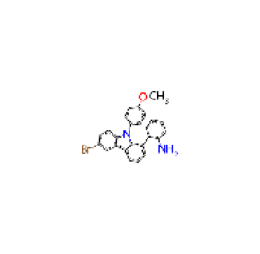 COc1ccc(-n2c3ccc(Br)cc3c3cccc(-c4ccccc4N)c32)cc1